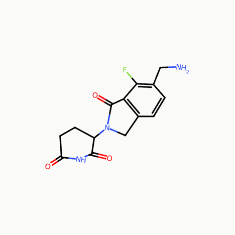 NCc1ccc2c(c1F)C(=O)N(C1CCC(=O)NC1=O)C2